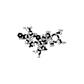 CSCC[C@H](NC(=O)[C@H](CC(C)C)NC(=O)[C@H](Cc1c[nH]cn1)NC(=O)CNC(=O)[C@@H](NC(=O)[C@H](C)NC(=O)[C@H](Cc1c[nH]c2ccccc12)NC(=O)[C@H](CCC(N)=O)NC(=O)c1ccc(NC(=O)CNC(=O)C(CC(=O)O)N2CCN(CC(=O)O)CCN(CC(=O)O)CCN(CC(=O)O)CC2)cc1)C(C)C)C(N)=O